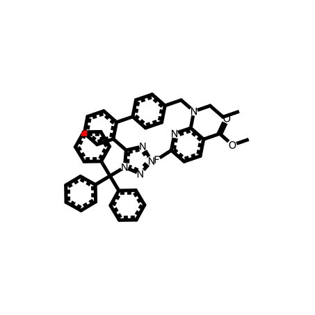 CCCN(Cc1ccc(-c2ccccc2-c2nnnn2C(c2ccccc2)(c2ccccc2)c2ccccc2)cc1)c1nc(F)ccc1C(=O)OC